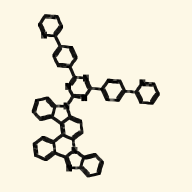 c1ccc(-c2ccc(-c3nc(-c4ccc(-c5ccccn5)cc4)nc(-n4c5ccccc5c5c6c7ccccc7c7nc8ccccc8n7c6ccc54)n3)cc2)nc1